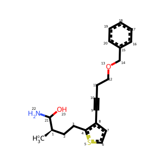 C[C@H](CCc1sccc1C#CCCOCc1ccccc1)C(N)O